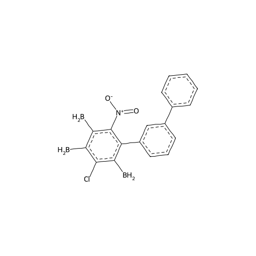 Bc1c(B)c([N+](=O)[O-])c(-c2cccc(-c3ccccc3)c2)c(B)c1Cl